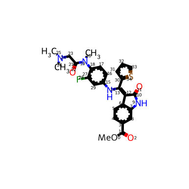 COC(=O)c1ccc2c(c1)NC(=O)C2=C(Nc1ccc(N(C)C(=O)CN(C)C)c(F)c1)c1cccs1